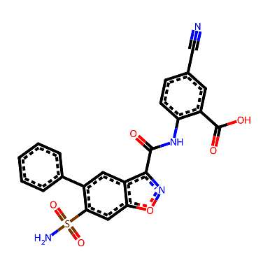 N#Cc1ccc(NC(=O)c2noc3cc(S(N)(=O)=O)c(-c4ccccc4)cc23)c(C(=O)O)c1